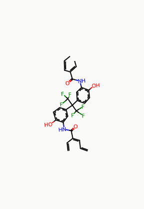 C=C/C=C(\C=C)C(=O)Nc1cc(C(c2ccc(O)c(NC(=O)C(/C=C\C)=C/C)c2)(C(F)(F)F)C(F)(F)F)ccc1O